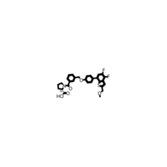 COCc1cc2c(F)c(F)cc(-c3ccc(OCc4cccc(C(=O)N5CCC[C@H]5C(=O)O)c4)cc3)c2s1